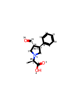 C[C@H](C(=O)O)N1C[C@H](c2ccccc2)[C@@H](C=O)C1